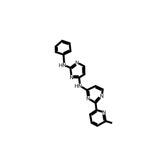 Cc1cccc(-c2nccc(Nc3ccnc(Nc4ccccc4)n3)n2)n1